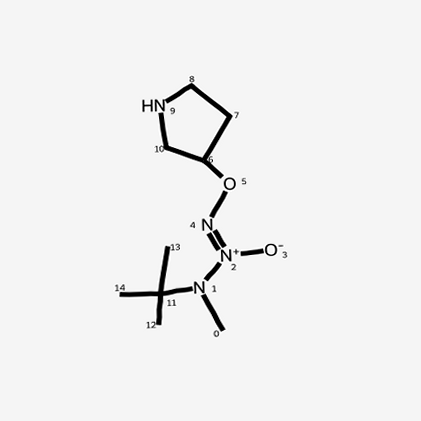 CN([N+]([O-])=NOC1CCNC1)C(C)(C)C